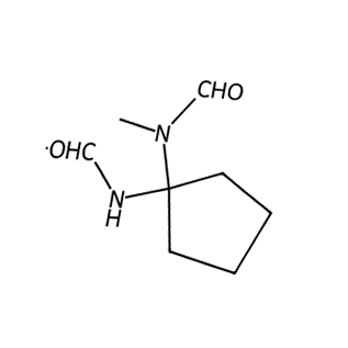 CN(C=O)C1(N[C]=O)CCCC1